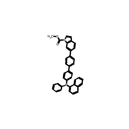 COC(=O)n1ccc2ccc(-c3ccc(-c4ccc(N(c5ccccc5)c5cccc6ccccc56)cc4)cc3)cc21